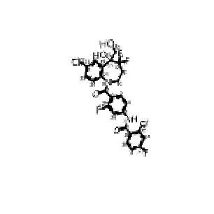 O=C(Nc1ccc(C(=O)N2CCC(F)(F)[C@](O)(CO)c3cc(Cl)ccc32)c(F)c1)c1ccc(F)cc1Cl